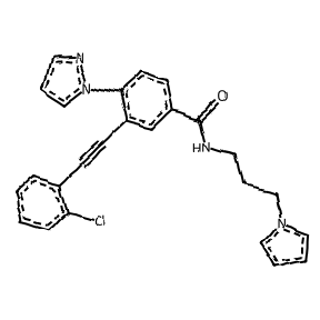 O=C(NCCCn1cccc1)c1ccc(-n2cccn2)c(C#Cc2ccccc2Cl)c1